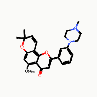 COc1cc2c(c3oc(-c4cccc(N5CCN(C)CC5)c4)cc(=O)c13)C=CC(C)(C)O2